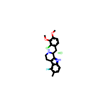 COc1ccc(CC2NCCc3c2[nH]c2ccc(C)c(F)c32)c(Cl)c1OC.Cl